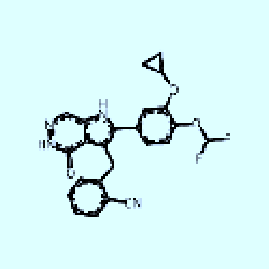 N#Cc1ccccc1Cc1c(-c2ccc(OC(F)F)c(OC3CC3)c2)[nH]c2cn[nH]c(=O)c12